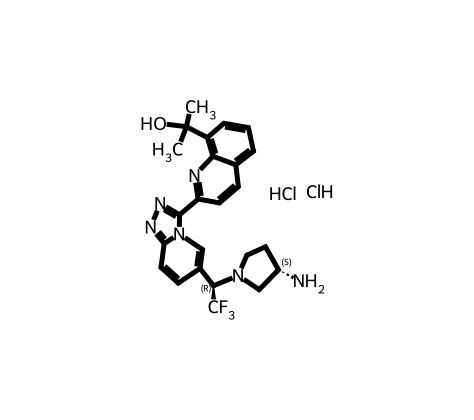 CC(C)(O)c1cccc2ccc(-c3nnc4ccc([C@@H](N5CC[C@H](N)C5)C(F)(F)F)cn34)nc12.Cl.Cl